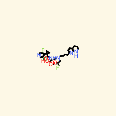 CO[C@H](CF)CN(CCCCc1ccc2c(n1)NCCC2)CC[C@H](NC(=O)C1(c2c(F)cncc2Cl)CC1)C(=O)O